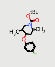 CC1CN(C(=O)OC(C)(C)C)[C@@H](C)CC1Oc1ccc(F)cc1